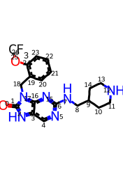 O=c1[nH]c2cnc(NCC3CCNCC3)nc2n1Cc1ccccc1OC(F)(F)F